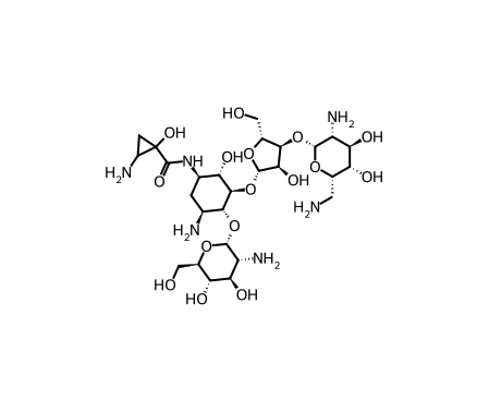 NC[C@@H]1O[C@H](O[C@H]2[C@@H](O)[C@H](O[C@@H]3[C@@H](O)[C@H](NC(=O)C4(O)CC4N)C[C@H](N)[C@H]3O[C@H]3O[C@H](CO)[C@@H](O)[C@H](O)[C@H]3N)O[C@@H]2CO)[C@H](N)[C@@H](O)[C@@H]1O